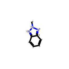 Cn1nc2c[c]ccc2n1